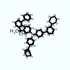 CC1(C)c2cc(N(c3ccc(-c4cccc(C5CCCCC5)c4)cc3)c3ccc(C4CC5CCC4C5)cc3)ccc2-c2c(-c3ccccc3)cccc21